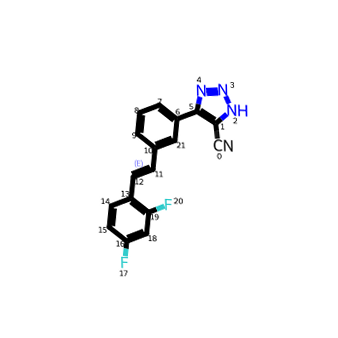 N#Cc1[nH]nnc1-c1cccc(/C=C/c2ccc(F)cc2F)c1